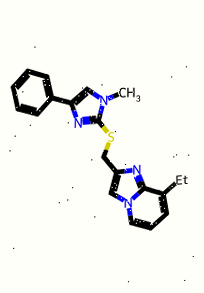 CCc1cccn2cc(CSc3nc(-c4ccccc4)cn3C)nc12